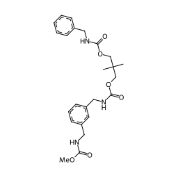 COC(=O)NCc1cccc(CNC(=O)OCC(C)(C)COC(=O)NCc2ccccc2)c1